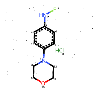 Cl.FNc1ccc(N2CCOCC2)cc1